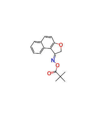 CC(C)(C)C(=O)O/N=C1\COc2ccc3ccccc3c21